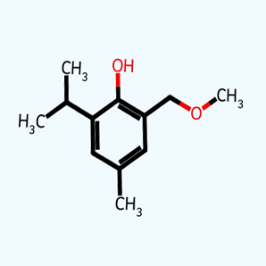 COCc1cc(C)cc(C(C)C)c1O